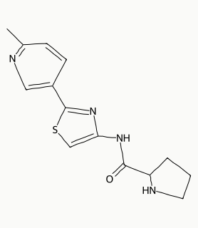 Cc1ccc(-c2nc(NC(=O)C3CCCN3)cs2)cn1